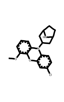 COc1cccc2c1Oc1cc(Cl)ccc1N2C1CC2CCC(C1)N2